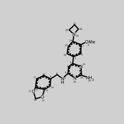 COc1cc(-c2cc(NCc3ccc4c(c3)OCO4)nc(N)n2)ccc1N1CCC1